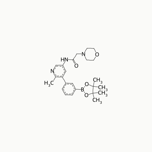 Cc1ncc(NC(=O)CN2CCOCC2)cc1-c1cccc(B2OC(C)(C)C(C)(C)O2)c1